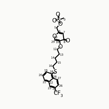 CS(=O)(=O)OCc1cc(=O)c(OCCCCCSc2cccc3cc(C(F)(F)F)ccc23)co1